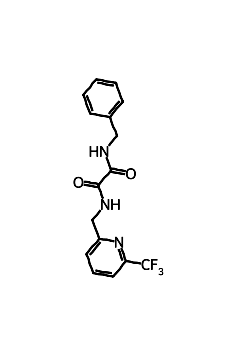 O=C(NCc1ccccc1)C(=O)NCc1cccc(C(F)(F)F)n1